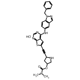 CN(C)C(=O)OC1CNC(C#Cc2cc3c(Nc4ccc5c(cnn5Cc5ccccc5)c4)ncnc3s2)C1.Cl